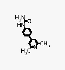 Cc1cc(-c2ccc(NC(N)=O)cc2)cc(C)n1